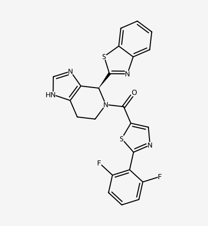 O=C(c1cnc(-c2c(F)cccc2F)s1)N1CCc2[nH]cnc2[C@H]1c1nc2ccccc2s1